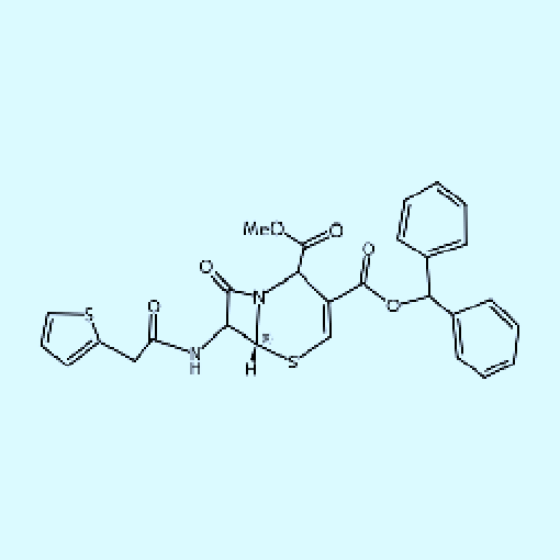 COC(=O)C1C(C(=O)OC(c2ccccc2)c2ccccc2)=CS[C@@H]2C(NC(=O)Cc3cccs3)C(=O)N12